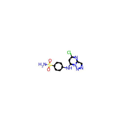 NS(=O)(=O)c1ccc(Nc2cc(Cl)nc3cnnn23)cc1